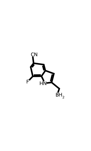 BCc1cc2cc(C#N)cc(F)c2[nH]1